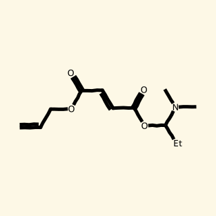 C=CCOC(=O)C=CC(=O)OC(CC)N(C)C